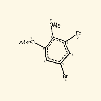 CCc1cc(Br)cc(OC)c1OC